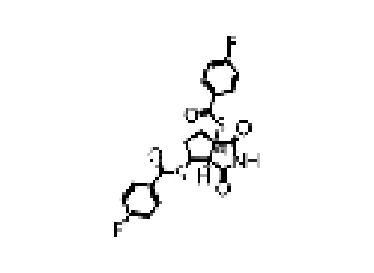 O=C(SC1CC[C@]2(SC(=O)c3ccc(F)cc3)C(=O)NC(=O)[C@H]12)c1ccc(F)cc1